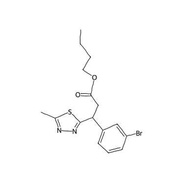 CCCCOC(=O)CC(c1cccc(Br)c1)c1nnc(C)s1